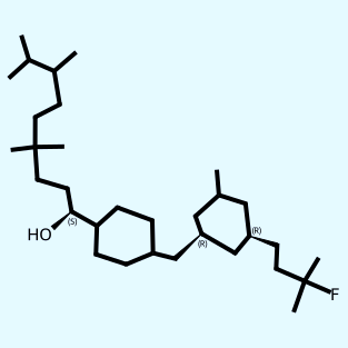 CC1C[C@@H](CCC(C)(C)F)C[C@@H](CC2CCC([C@@H](O)CCC(C)(C)CCC(C)C(C)C)CC2)C1